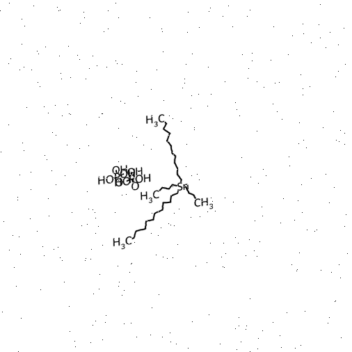 CCCCCCCCCCC[CH2][Sn]([CH2]CCC)([CH2]CCC)[CH2]CCCCCCCCCCC.O=P(O)(O)O.O=P(O)(O)O